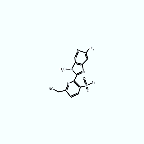 CCS(=O)(=O)c1ccc(CC#N)nc1-c1nc2cc(C(F)(F)F)ncc2n1C